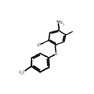 Cc1cc(Oc2ccc(C(F)(F)F)cc2)c(Cl)cc1[N+](=O)[O-]